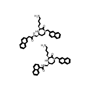 NCCCC[C@@H]1N[C@H](CNC(=O)Cc2ccc3ccccc3c2)CCN(Cc2ccc3ccccc3c2)C1=O.NCCCC[C@@H]1N[C@H](CNC(=O)c2cccc3ccccc23)CCN(Cc2ccc3ccccc3c2)C1=O